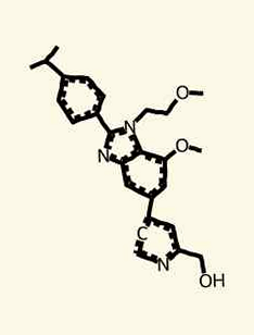 COCCn1c(-c2ccc(C(C)C)cc2)nc2cc(-c3ccnc(CO)c3)cc(OC)c21